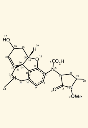 CON1C(=O)C(N(C(=O)O)c2ccc3c4c2O[C@H]2CC(O)C=C[C@@]42CCN(C)C3)CC1C